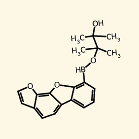 CC(C)(O)C(C)(C)OBc1cccc2c1oc1c2ccc2ccoc21